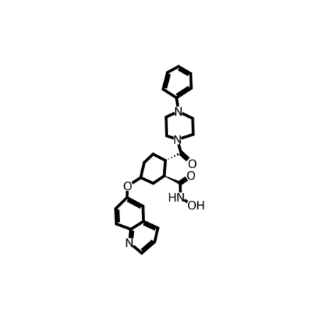 O=C(NO)[C@H]1CC(Oc2ccc3ncccc3c2)CC[C@@H]1C(=O)N1CCN(c2ccccc2)CC1